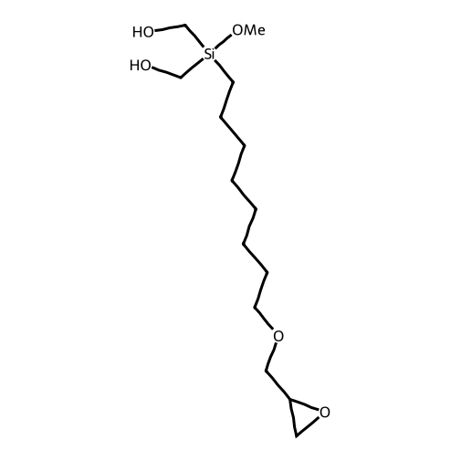 CO[Si](CO)(CO)CCCCCCCCOCC1CO1